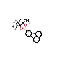 CC1(C)OB(c2ccc3c(c2)-c2cccc4cccc-3c24)OC1(C)C